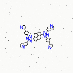 c1cncc(-c2ccc(-c3nc(-c4ccc5ncccc5c4)nc(-c4ccc5ccc6c(-c7nc(-c8ccc(-c9cccnc9)cc8)nc(-c8ccc9ncccc9c8)n7)ccc7ccc4c5c76)n3)cc2)c1